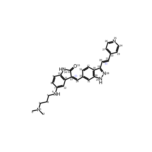 CN(C)CCCNc1ccc2c(c1)/C(=C/c1ccc3c(/C=C/c4ccncc4)n[nH]c3c1)C(=O)N2